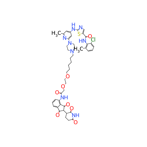 Cc1cc(Nc2ncc(C(=O)Nc3c(C)cccc3Cl)s2)cc(N2CCN(CCCCCCOCCOCC(=O)Nc3cccc4c3C(=O)C(C3CCC(=O)NC3=O)C4=O)CC2)n1